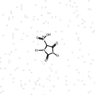 CCN1C(=O)C([PH](=O)O)N(CC)C1=O